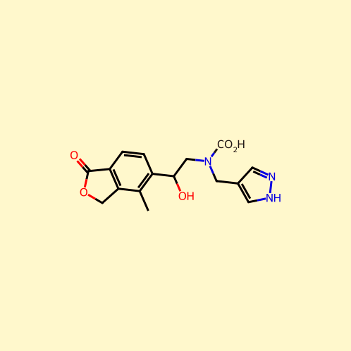 Cc1c(C(O)CN(Cc2cn[nH]c2)C(=O)O)ccc2c1COC2=O